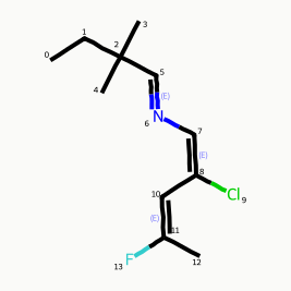 CCC(C)(C)/C=N/C=C(Cl)\C=C(/C)F